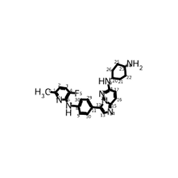 Cc1ccc(F)c(Nc2ccc(-c3cnc4ccc(N[C@H]5CC[C@H](N)CC5)nn34)cc2)n1